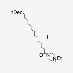 CCCCCCCCCCCCCCCCCCCCCCCC(=O)N1CC[N+](C)(CC)CC1.[I-]